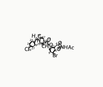 CC(=O)NS(=O)(=O)Cc1cc(Br)ccc1OCC(=O)N1C[C@H](C)N(Cc2ccc(Cl)cc2)C[C@H]1C